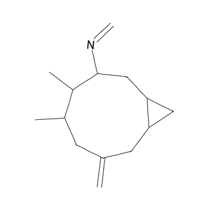 C=NC1CC2CC2CC(=C)CC(C)C1C